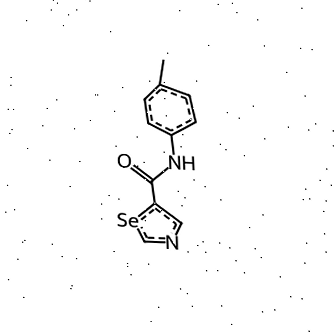 Cc1ccc(NC(=O)c2cnc[se]2)cc1